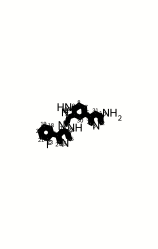 Nc1cncc(C2=CC=C3NN=C(c4nc5c(-c6ccccc6F)cncc5[nH]4)C3C2)c1